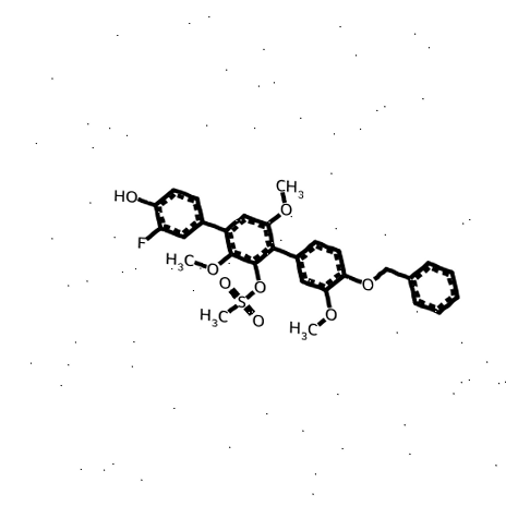 COc1cc(-c2c(OC)cc(-c3ccc(O)c(F)c3)c(OC)c2OS(C)(=O)=O)ccc1OCc1ccccc1